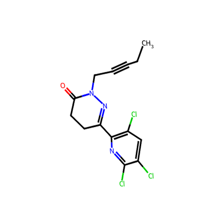 CCC#CCN1N=C(c2nc(Cl)c(Cl)cc2Cl)CCC1=O